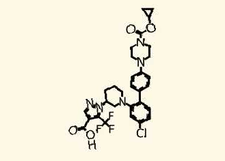 O=C(O)c1cnn(C2CCCN(c3cc(Cl)ccc3-c3ccc(N4CCN(C(=O)OC5CC5)CC4)cc3)C2)c1C(F)(F)F